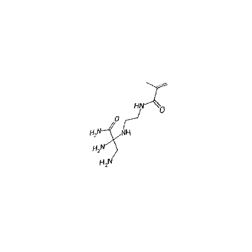 C=C(C)C(=O)NCCNC(N)(CN)C(N)=O